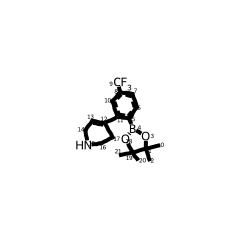 CC1(C)OB(c2ccc(C(F)(F)F)cc2C2=CCNCC2)OC1(C)C